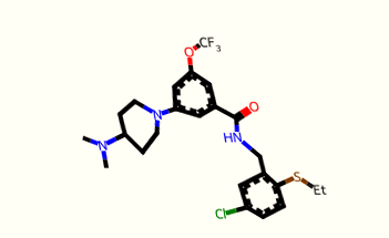 CCSc1ccc(Cl)cc1CNC(=O)c1cc(OC(F)(F)F)cc(N2CCC(N(C)C)CC2)c1